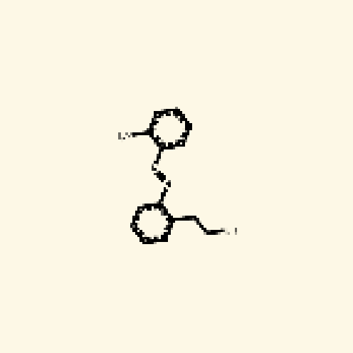 Nc1ccccc1N=Nc1ccccc1CCO